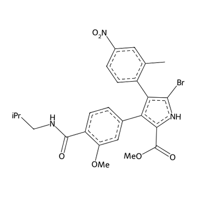 COC(=O)c1[nH]c(Br)c(-c2ccc([N+](=O)[O-])cc2C)c1-c1ccc(C(=O)NCC(C)C)c(OC)c1